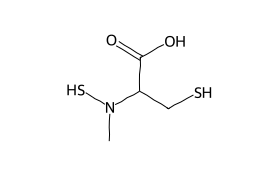 CN(S)C(CS)C(=O)O